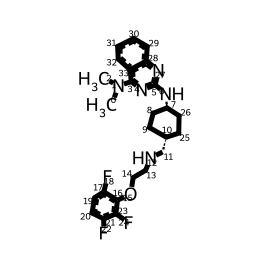 CN(C)c1nc(N[C@H]2CC[C@@H](CNCCOc3c(F)ccc(F)c3F)CC2)nc2ccccc12